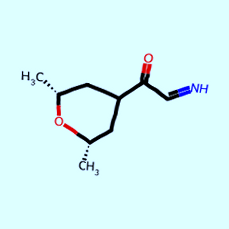 C[C@@H]1CC(C(=O)C=N)C[C@H](C)O1